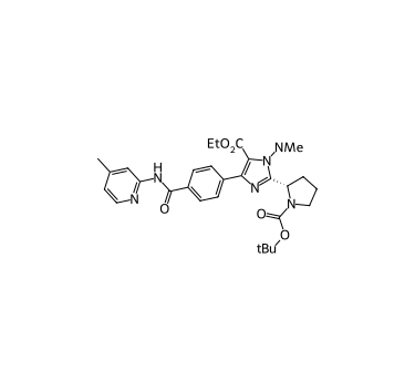 CCOC(=O)c1c(-c2ccc(C(=O)Nc3cc(C)ccn3)cc2)nc([C@@H]2CCCN2C(=O)OC(C)(C)C)n1NC